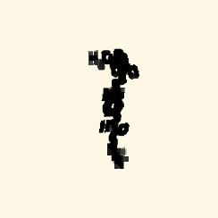 CC(=O)OC(CSc1nc2ccc(CNC(=O)CCN=[N+]=[N-])cc2s1)C(=O)O